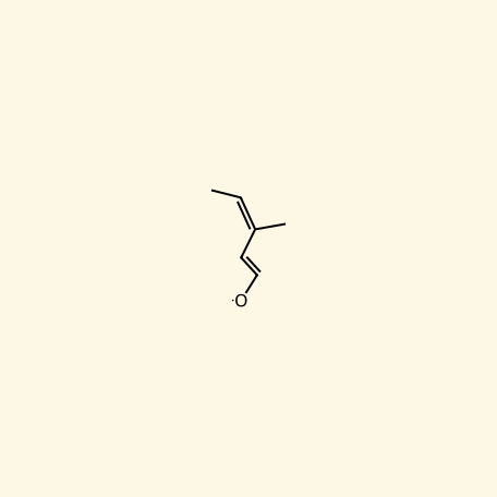 CC=C(C)C=C[O]